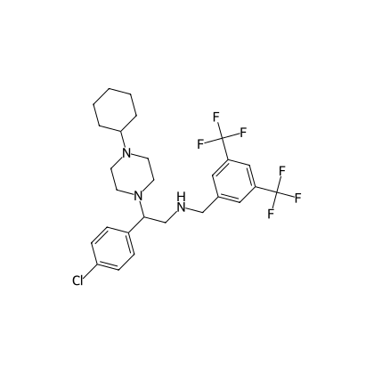 FC(F)(F)c1cc(CNCC(c2ccc(Cl)cc2)N2CCN(C3CCCCC3)CC2)cc(C(F)(F)F)c1